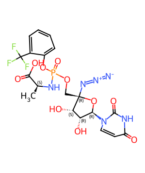 C[C@H](NP(=O)(OC[C@@]1(N=[N+]=[N-])O[C@@H](n2ccc(=O)[nH]c2=O)[C@H](O)[C@@H]1O)Oc1ccccc1C(F)(F)F)C(=O)O